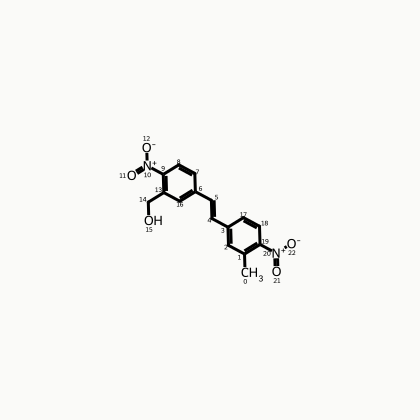 Cc1cc(C=Cc2ccc([N+](=O)[O-])c(CO)c2)ccc1[N+](=O)[O-]